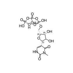 Cn1c(=O)[nH]cc([C@@H]2O[C@H](COP(=O)(O)OP(=O)(O)OP(=O)(O)O)[C@H](O)C2O)c1=O